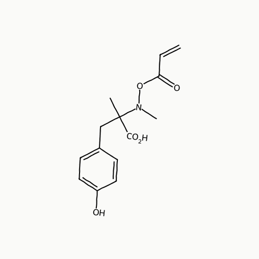 C=CC(=O)ON(C)C(C)(Cc1ccc(O)cc1)C(=O)O